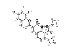 O=C(Oc1c(F)c(F)c(F)c(F)c1F)c1cc2ccc(C3CCC3)c(C(=O)NC3CCC3)c2[nH]c1=O